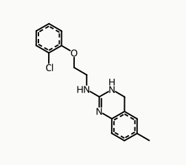 Cc1ccc2c(c1)CNC(NCCOc1ccccc1Cl)=N2